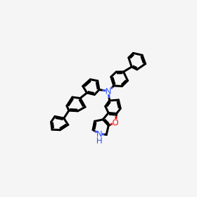 C1=Cc2c(oc3ccc(N(c4ccc(-c5ccccc5)cc4)c4cccc(-c5ccc(-c6ccccc6)cc5)c4)cc23)CN1